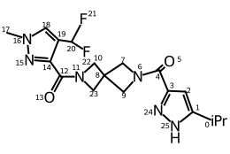 CC(C)c1cc(C(=O)N2CC3(C2)CN(C(=O)c2nn(C)cc2C(F)F)C3)n[nH]1